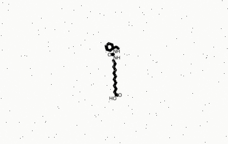 CCC1(NC(=O)NCCCCCCCCCCCC(=O)O)CC=CCC1